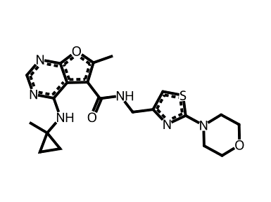 Cc1oc2ncnc(NC3(C)CC3)c2c1C(=O)NCc1csc(N2CCOCC2)n1